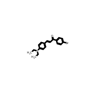 CCN(CC)c1ccc(C=CC(=O)c2ccc(Br)cc2)cc1